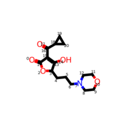 O=C1OC(CCCN2CCOCC2)C(O)=C1C(=O)C1CC1